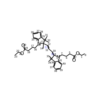 CCOC(=O)CCCN1/C(=C/C=C/C2(C)N(CCCC(=O)OCC)c3ccccc3C2(C)C)C(C)(C)c2ccccc21